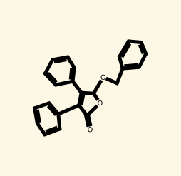 O=C1OC(OCc2ccccc2)C(c2ccccc2)=C1c1ccccc1